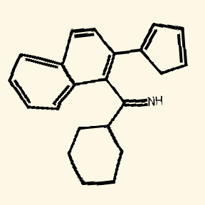 N=C(c1c(C2=CC=CC2)ccc2ccccc12)C1CCCCC1